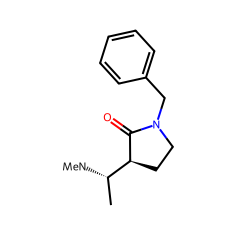 CN[C@@H](C)[C@@H]1CCN(Cc2ccccc2)C1=O